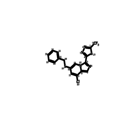 FC(F)(F)c1nnc(-c2ncc3c(Cl)cc(SCc4ccccc4)cn23)s1